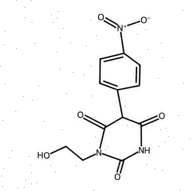 O=C1NC(=O)N(CCO)C(=O)C1c1ccc([N+](=O)[O-])cc1